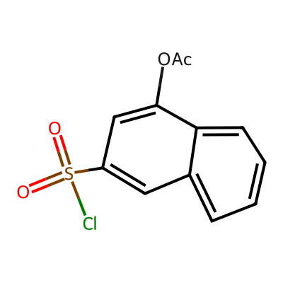 CC(=O)Oc1cc(S(=O)(=O)Cl)cc2ccccc12